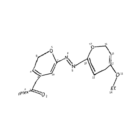 CCCCCCC(=O)C1=CCOC(N=NC2=CC(OCC)=CCO2)=C1